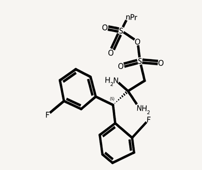 CCCS(=O)(=O)OS(=O)(=O)CC(N)(N)[C@@H](c1cccc(F)c1)c1ccccc1F